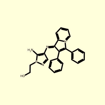 Nc1c(/N=C2\C(c3ccccc3)=C(c3ccccc3)[n+]3ccccc32)cnn1CCO